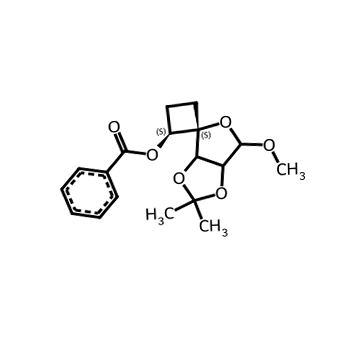 COC1O[C@]2(CC[C@@H]2OC(=O)c2ccccc2)C2OC(C)(C)OC12